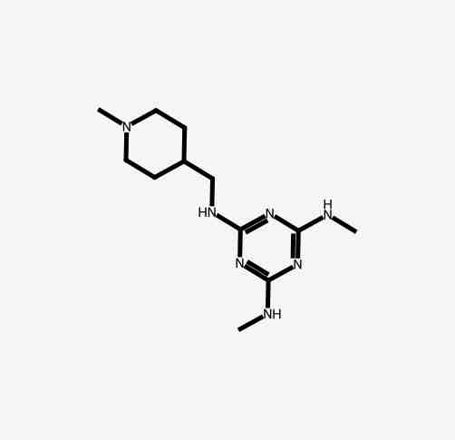 CNc1nc(NC)nc(NCC2CCN(C)CC2)n1